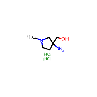 CN1CCC(N)(CO)C1.Cl.Cl